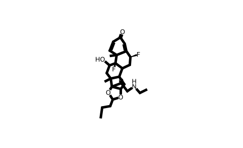 CCCC1OC2CC3C4C[C@H](F)C5=CC(=O)C=CC5(C)[C@@]4(F)C(O)CC3(C)C2(C(=O)CNCC)O1